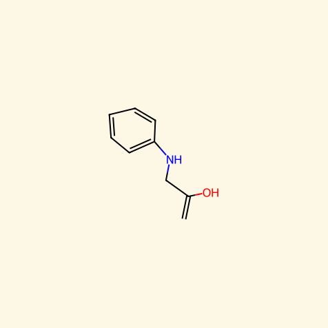 C=C(O)CNc1ccccc1